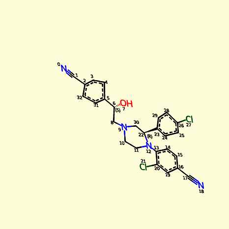 N#Cc1ccc([C@H](O)CN2CCN(c3ccc(C#N)cc3Cl)[C@H](c3ccc(Cl)cc3)C2)cc1